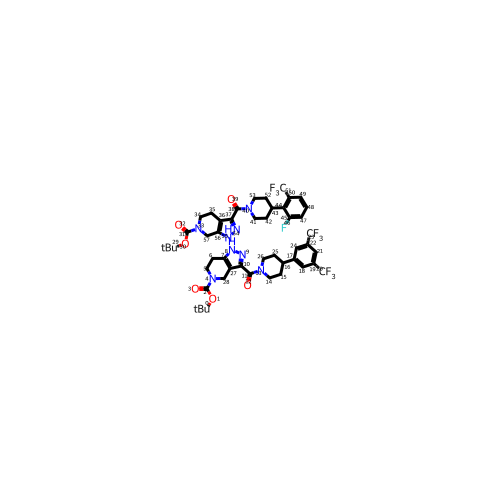 CC(C)(C)OC(=O)N1CCc2[nH]nc(C(=O)N3CCC(c4cc(C(F)(F)F)cc(C(F)(F)F)c4)CC3)c2C1.CC(C)(C)OC(=O)N1CCc2c(C(=O)N3CCC(c4c(F)cccc4C(F)(F)F)CC3)n[nH]c2C1